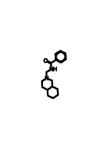 O=C(NCN1CCC2CCCCC2C1)c1ccccc1